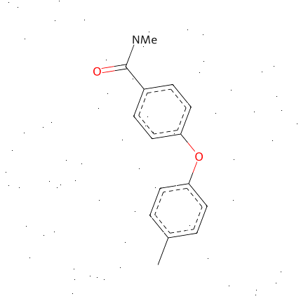 CNC(=O)c1ccc(Oc2ccc(C)cc2)cc1